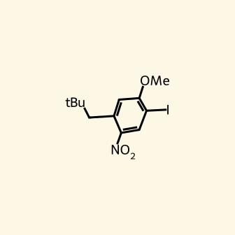 [CH2]C(C)(C)Cc1cc(OC)c(I)cc1[N+](=O)[O-]